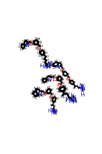 CC(CCc1nnn[nH]1)c1ccc(OCc2ccc(OCc3ccc4ccccc4n3)cc2)cc1.CC(CCc1nnn[nH]1)c1ccc(OCc2cccc(OCc3ccc4ccccc4n3)c2)cc1.CC(Cc1nnn[nH]1)c1cccc(OCc2cccc(OCc3ccc4ccccc4n3)c2)c1.c1cc(COc2ccc(CCCCc3nnn[nH]3)cc2)cc(OCc2ccc3ccccc3n2)c1